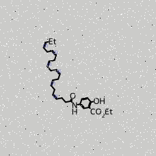 CC/C=C\C/C=C\C/C=C\C/C=C\C/C=C\C/C=C\CCC(=O)Nc1ccc(O)c(C(=O)OCC)c1